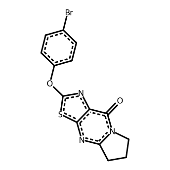 O=c1c2nc(Oc3ccc(Br)cc3)sc2nc2n1CCC2